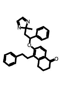 CC1(CC(Oc2ccc3c(c2CCc2ccccc2)CCCC3=O)c2ccccc2)N=CC=N1